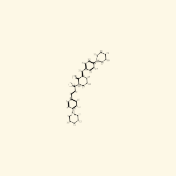 O=C(/C=C/c1ccc(N2CCCCC2)cc1)C1CCC/C(=C\c2ccc(N3CCCCC3)cc2)C1=O